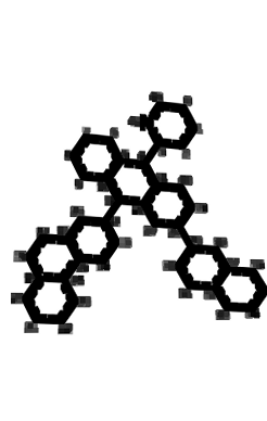 c1ccc(-c2c3ccccc3c(-c3ccc4c(ccc5ccccc54)c3)c3cc(-c4ccc5ccccc5c4)ccc23)nc1